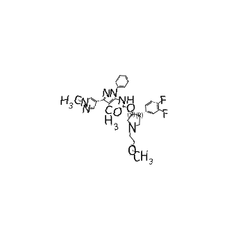 COCCN1C[C@@H](OC(=O)Nc2c(C)c(-c3cnn(C)c3)nn2-c2ccccc2)[C@H](c2ccc(F)c(F)c2)C1